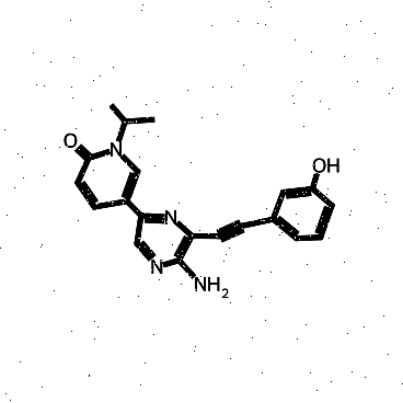 CC(C)n1cc(-c2cnc(N)c(C#Cc3cccc(O)c3)n2)ccc1=O